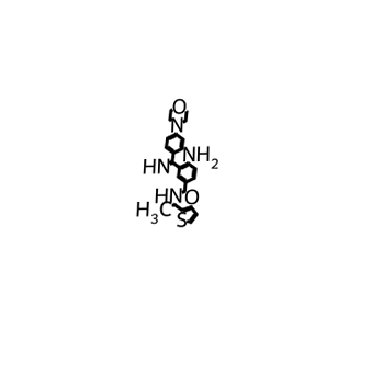 CC(NC(=O)c1ccc(N)c(C(=N)c2ccc(N3CCOCC3)cc2)c1)c1cccs1